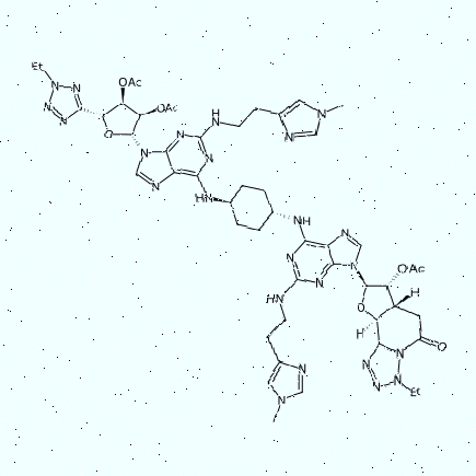 CCN1N=NC2[C@H]3O[C@@H](n4cnc5c(N[C@H]6CC[C@H](Nc7nc(NCCc8cn(C)cn8)nc8c7ncn8[C@@H]7O[C@H](c8nnn(CC)n8)[C@@H](OC(C)=O)[C@H]7OC(C)=O)CC6)nc(NCCc6cn(C)cn6)nc54)[C@H](OC(C)=O)[C@@H]3CC(=O)N21